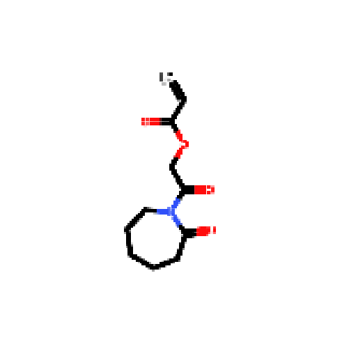 C=CC(=O)OCC(=O)N1CCCCCC1=O